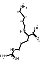 N=C(N)NCCCC(NCCCCN)C(=O)O